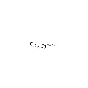 COC(=O)/C=C/c1ccc(NC(=O)Nc2ccccc2)cc1